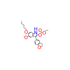 CCCCCOc1cc2[nH]c(OC(=O)OCC)c(-c3ccc4c(c3)CCO4)c2cc1OC